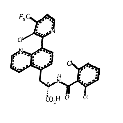 O=C(N[C@@H](Cc1ccc(-c2nccc(C(F)(F)F)c2Cl)c2ncccc12)C(=O)O)c1c(Cl)cccc1Cl